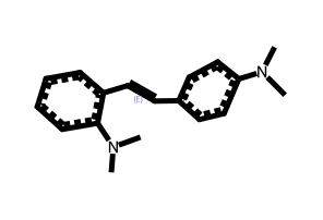 CN(C)c1ccc(/C=C/c2ccccc2N(C)C)cc1